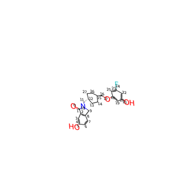 O=C1c2cc(O)ccc2CN1C[C@H]1CC[C@H](COc2cc(O)cc(F)c2)CC1